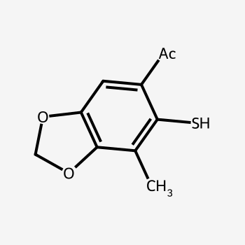 CC(=O)c1cc2c(c(C)c1S)OCO2